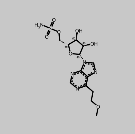 COCCc1ncnc2c1ncn2[C@@H]1O[C@H](COS(N)(=O)=O)[C@@H](O)[C@H]1O